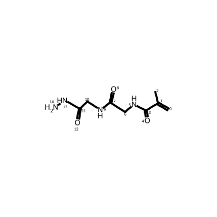 C=C(C)C(=O)NCC(=O)NCC(=O)NN